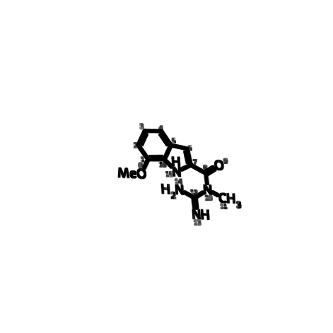 COc1cccc2cc(C(=O)N(C)C(=N)N)[nH]c12